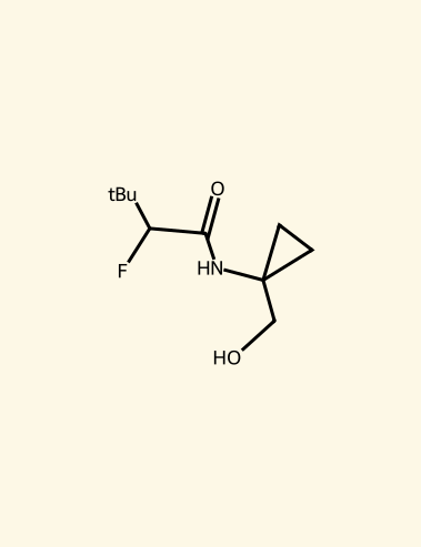 CC(C)(C)C(F)C(=O)NC1(CO)CC1